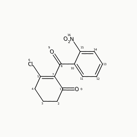 O=C1CCCC(Cl)=C1C(=O)c1ccccc1[N+](=O)[O-]